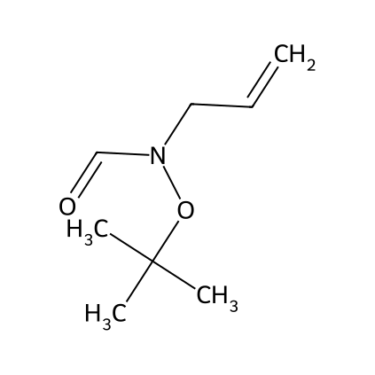 C=CCN(C=O)OC(C)(C)C